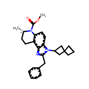 COC(=O)N1c2ccc3c(nc(Cc4ccccc4)n3C3CC4(CCC4)C3)c2CC[C@@H]1C